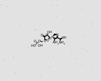 N=C(N)c1ncn([C@@H]2O[C@H](COP(=O)(O)O)C(=O)[C@H]2O)c1N